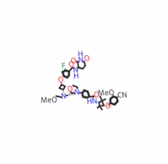 COCCN(C[C@H]1CN(c2ccc(C(=O)N[C@H]3C(C)(C)[C@@H](Oc4ccc(C#N)c(OC)c4)C3(C)C)cc2)CCO1)[C@H]1C[C@H](Oc2ccc(C(=O)N[C@@H]3CCC(=O)NC3=O)c(F)c2)C1